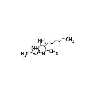 CCCCCCc1c(C)nc2cc(C)nn2c1N